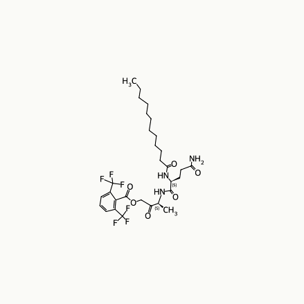 CCCCCCCCCCCC(=O)N[C@@H](CCC(N)=O)C(=O)N[C@@H](C)C(=O)COC(=O)c1c(C(F)(F)F)cccc1C(F)(F)F